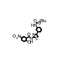 CC(C)(C)OC(=O)Nc1cccc(-c2csc(NC(=O)c3cc([N+](=O)[O-])ccc3Cl)n2)c1